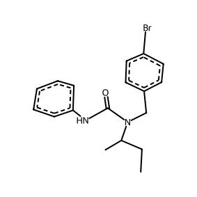 CCC(C)N(Cc1ccc(Br)cc1)C(=O)Nc1ccccc1